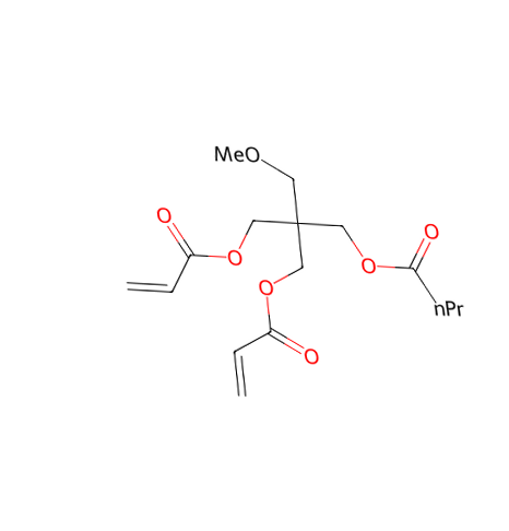 C=CC(=O)OCC(COC)(COC(=O)C=C)COC(=O)CCC